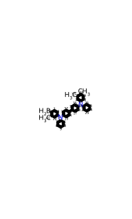 Bc1ccc(N(c2ccccc2)c2ccc(-c3ccc(N(c4ccccc4)c4ccc(C)c(C)c4)cc3)cc2)cc1C